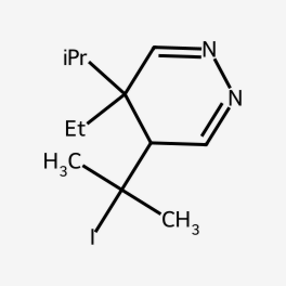 CCC1(C(C)C)C=NN=CC1C(C)(C)I